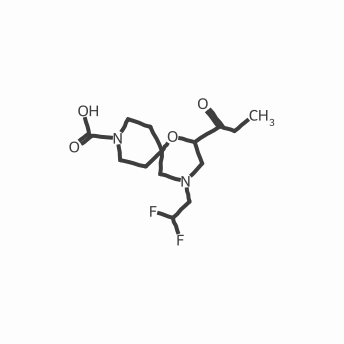 CCC(=O)C1CN(CC(F)F)CC2(CCN(C(=O)O)CC2)O1